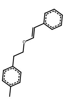 Cc1ccc(CCOC=Cc2ccccc2)cc1